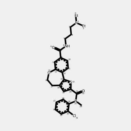 CCN(CC)CCCNC(=O)c1ccc2c(c1)OCCc1cc(C(=O)N(C)c3ccccc3Cl)sc1-2